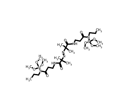 CCCN(C(=O)CCNC(=O)C(C)(C)N=NC(C)(C)C(=O)NCCC(=O)N(CCC)[Si](OC)(OC)OC)[Si](OC)(OC)OC